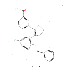 O=C(O)c1cccc(C2=C(c3cc(Cl)ccc3OCc3ccccc3)CCC2)c1